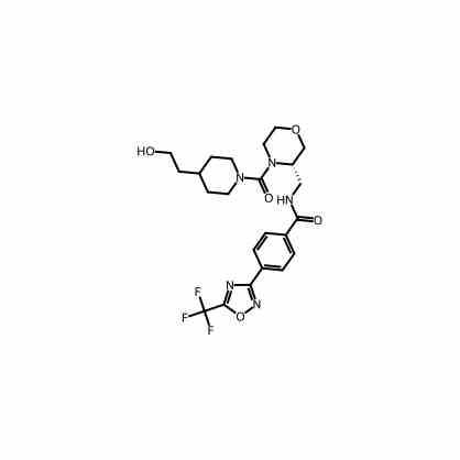 O=C(NC[C@H]1COCCN1C(=O)N1CCC(CCO)CC1)c1ccc(-c2noc(C(F)(F)F)n2)cc1